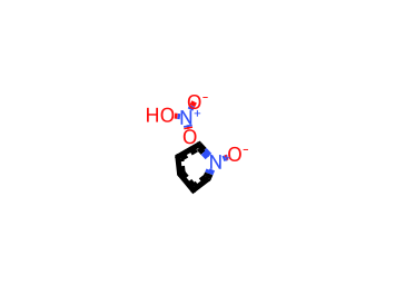 O=[N+]([O-])O.[O-][n+]1ccccc1